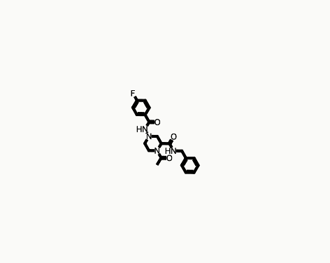 CC(=O)N1CCN(NC(=O)c2ccc(F)cc2)CC1C(=O)NCc1ccccc1